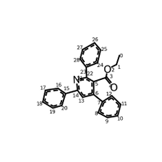 CCOC(=O)c1c(-c2ccccc2)cc(-c2ccccc2)nc1-c1ccccc1